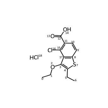 CCOc1c(CC)sc2ccc(C(=O)O)c(Cl)c12.Cl